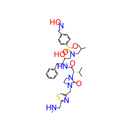 CNCc1nc(CN2CCN([C@H](C(=O)N[C@@H](Cc3ccccc3)[C@@H](O)CN(CC(C)C)S(=O)(=O)c3ccc(C=NO)cc3)C(C)C)C2=O)cs1